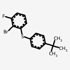 CC(C)(C)c1ccc(Sc2cccc(F)c2Br)cc1